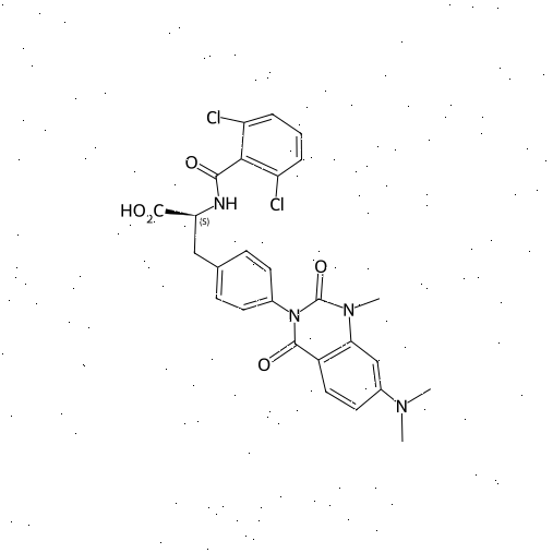 CN(C)c1ccc2c(=O)n(-c3ccc(C[C@H](NC(=O)c4c(Cl)cccc4Cl)C(=O)O)cc3)c(=O)n(C)c2c1